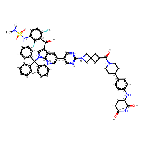 CCN(C)S(=O)(=O)Nc1ccc(F)c(C(=O)c2cn(C(c3ccccc3)(c3ccccc3)c3ccccc3)c3ncc(-c4cnc(N5CC6(CC(C(=O)N7CCC(c8ccc(NC9CCC(=O)NC9=O)cc8)CC7)C6)C5)nc4)cc23)c1F